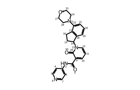 O=C(Nc1ccncc1)c1cccn(C2CCc3c2cccc3N2CCOCC2)c1=O